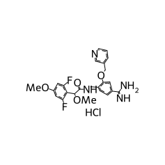 COc1cc(F)c(C(OC)C(=O)NCc2ccc(C(=N)N)cc2OCc2cccnc2)c(F)c1.Cl